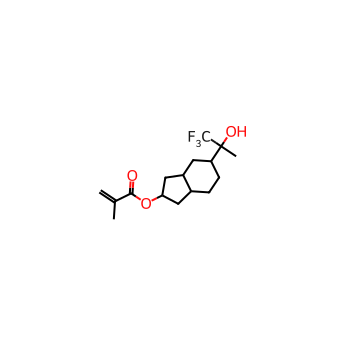 C=C(C)C(=O)OC1CC2CCC(C(C)(O)C(F)(F)F)CC2C1